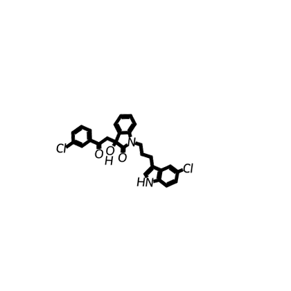 O=C(CC1(O)C(=O)N(CCCc2c[nH]c3ccc(Cl)cc23)c2ccccc21)c1cccc(Cl)c1